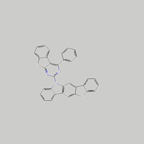 c1ccc(-c2nc(-n3c4ccccc4c4cc5sc6ccccc6c5cc43)nc3sc4ccccc4c23)cc1